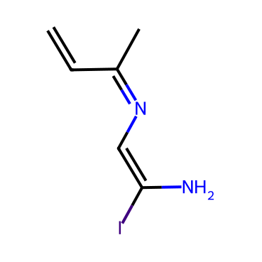 C=C/C(C)=N\C=C(/N)I